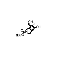 C=Cc1cc(O)cc2c1CN(C(=O)OC(C)(C)C)CC2